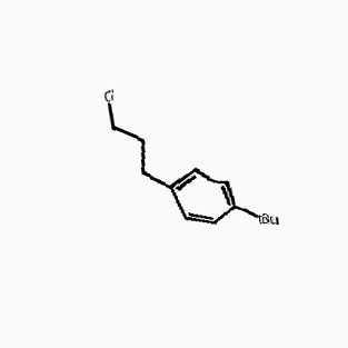 CC(C)(C)c1ccc(CCCCl)cc1